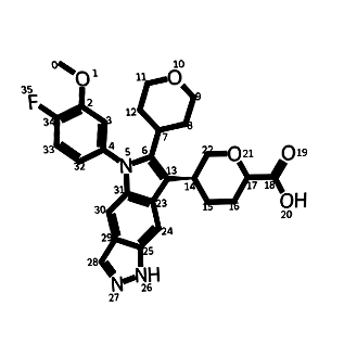 COc1cc(-n2c(C3CCOCC3)c([C@@H]3CCC(C(=O)O)OC3)c3cc4[nH]ncc4cc32)ccc1F